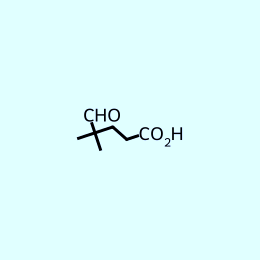 CC(C)(C=O)CCC(=O)O